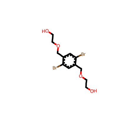 OCCOCc1cc(Br)c(COCCO)cc1Br